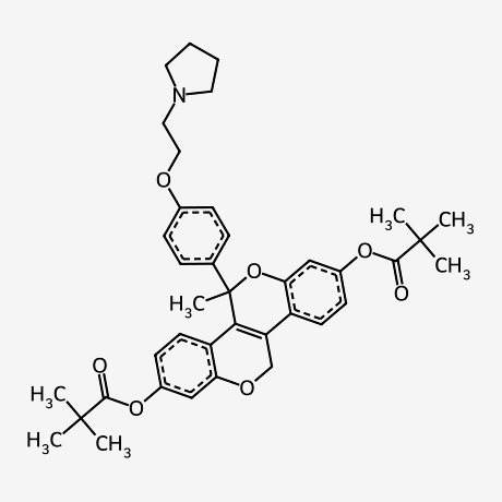 CC(C)(C)C(=O)Oc1ccc2c(c1)OC(C)(c1ccc(OCCN3CCCC3)cc1)C1=C2COc2cc(OC(=O)C(C)(C)C)ccc21